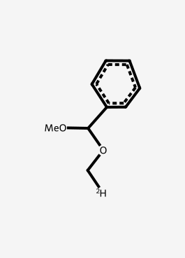 [2H]COC(OC)c1ccccc1